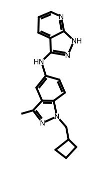 Cc1nn(CC2CCC2)c2ccc(Nc3n[nH]c4ncccc34)cc12